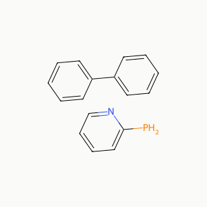 Pc1ccccn1.c1ccc(-c2ccccc2)cc1